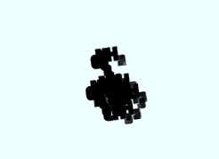 CCCCCCCC(N)=O.CCCCCCCC(N)=O.CCCCCCCC(N)=O.C[Si](C)(C)C1=[C]([V])CC=C1